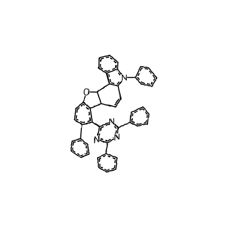 C1=CC2c3c(ccc(-c4ccccc4)c3-c3nc(-c4ccccc4)nc(-c4ccccc4)n3)OC2c2c1n(-c1ccccc1)c1ccccc21